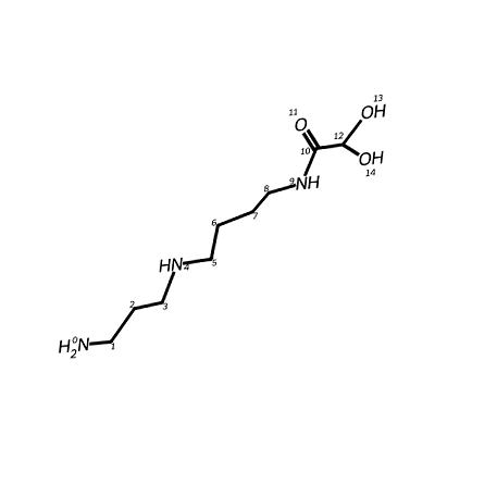 NCCCNCCCCNC(=O)C(O)O